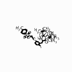 Cc1ccc(S(=O)(=O)OCCOc2ccc(I)c(CC(NC(=O)OC(C)(C)C)C(=O)OC(C)(C)C)c2)cc1